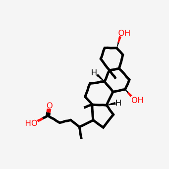 CC(CCC(=O)O)C1CC[C@H]2C3[C@H](O)CC4C[C@H](O)CCC4(C)[C@H]3CCC12C